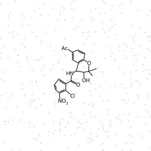 CC(=O)c1ccc2c(c1)C(NC(=O)c1cccc([N+](=O)[O-])c1Cl)C(O)C(C)(C)O2